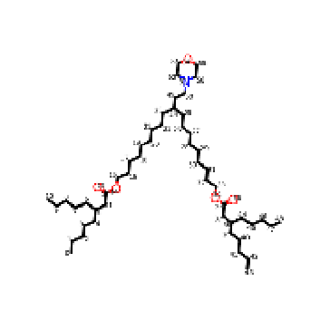 CCCCCC(CCCCC)CC(=O)OCCCCCCCCCC(CCCCCCCCCOC(=O)CC(CCCCC)CCCCC)CCN1CCOCC1